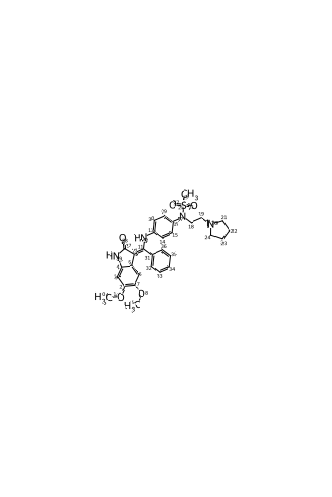 COc1cc2c(cc1OC)/C(=C(/Nc1ccc(N(CCN3CCCC3)S(C)(=O)=O)cc1)c1ccccc1)C(=O)N2